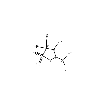 O=S1(=O)CC(C(F)F)C(F)C1(F)F